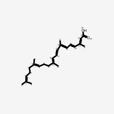 CC(C)=CCCC(C)=CCCC(C)=CC=CC(C)=CC=CC(C)=CC(=O)O